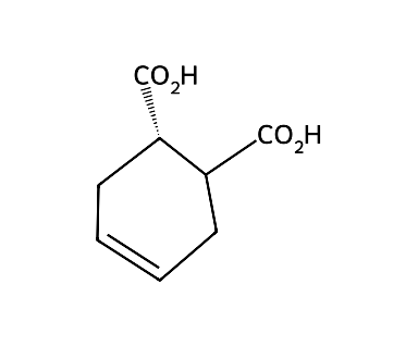 O=C(O)C1CC=CC[C@@H]1C(=O)O